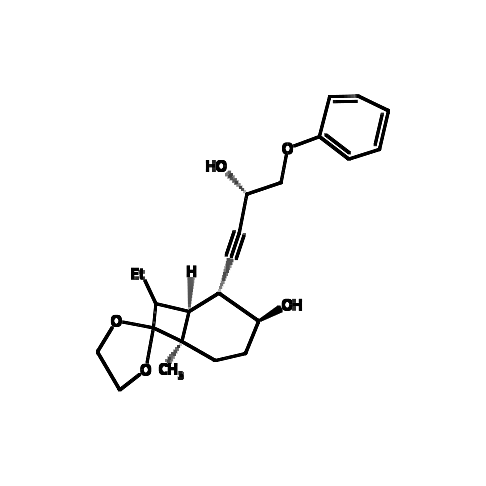 CCC1[C@H]2[C@H](C#C[C@H](O)COc3ccccc3)[C@@H](O)CC[C@@]2(C)C12OCCO2